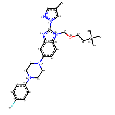 Cc1cnn(-c2nc3cc(N4CCN(c5ccc(F)cc5)CC4)ccc3n2COCC[Si](C)(C)C)c1